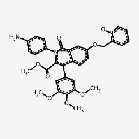 COC(=O)c1c(-c2cc(OC)c(OC)c(OC)c2)c2ccc(OCc3cccc[n+]3[O-])cc2c(=O)n1-c1ccc(N)cc1